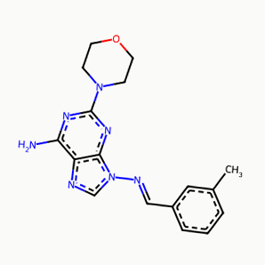 Cc1cccc(C=Nn2cnc3c(N)nc(N4CCOCC4)nc32)c1